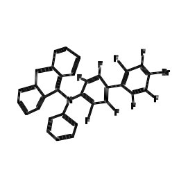 Fc1c(F)c(-c2c(F)c(F)c(N(c3ccccc3)c3c4ccccc4cc4ccccc34)c(F)c2F)c(F)c(F)c1Br